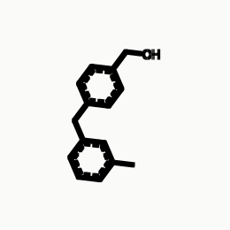 Cc1cccc(Cc2ccc(CO)cc2)c1